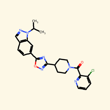 CC(C)n1ncc2ccc(-c3nc(C4CCN(C(=O)c5ncccc5Cl)CC4)no3)cc21